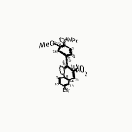 CCCOc1ccc(C2Oc3ccc(Br)cc3C=C2[N+](=O)[O-])cc1OC